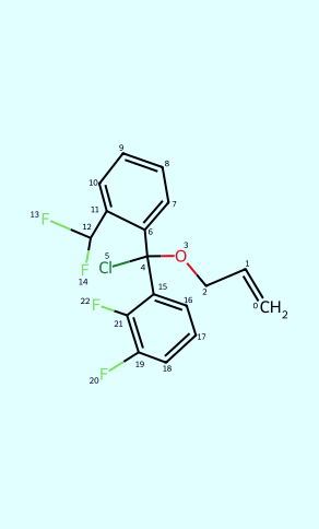 C=CCOC(Cl)(c1ccccc1C(F)F)c1cccc(F)c1F